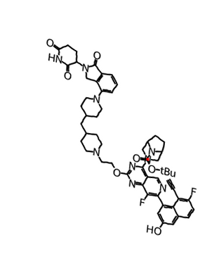 C#Cc1c(F)ccc2cc(O)cc(-c3ncc4c(N5CC6CCC(C5)N6C(=O)OC(C)(C)C)nc(OCCN5CCC(CC6CCN(c7cccc8c7CN(C7CCC(=O)NC7=O)C8=O)CC6)CC5)nc4c3F)c12